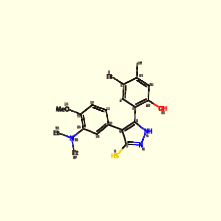 CCc1cc(-c2[nH]nc(S)c2-c2ccc(OC)c(N(CC)CC)c2)c(O)cc1C